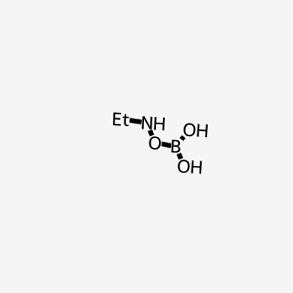 CCNOB(O)O